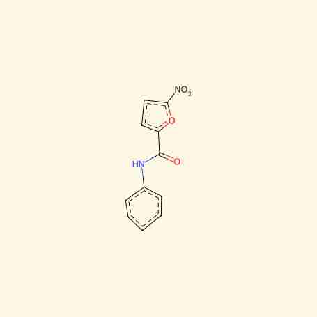 O=C(Nc1ccccc1)c1ccc([N+](=O)[O-])o1